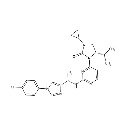 CC(Nc1nccc(N2C(=O)N(C3CC3)C[C@@H]2C(C)C)n1)c1cn(-c2ccc(Cl)cc2)cn1